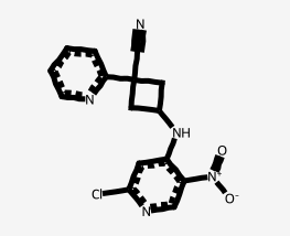 N#CC1(c2ccccn2)CC(Nc2cc(Cl)ncc2[N+](=O)[O-])C1